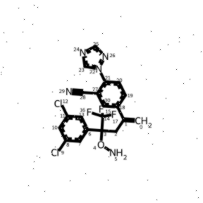 C=C(CC(ON)(c1cc(Cl)cc(Cl)c1)C(F)(F)F)c1ccc(-n2cncn2)c(C#N)c1